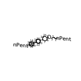 CCCCC/C=C/CO[C@H]1CC[C@H](c2ccc(C34CCC(CCCCC)(CC3)CC4)cc2)CC1